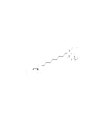 C=CC(=O)OCCCCCCCC[Si](OC)(OC)OC